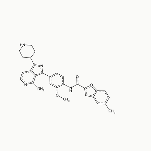 COc1cc(-c2nn(C3CCNCC3)c3ccnc(N)c23)ccc1NC(=O)c1cc2cc(C)ccc2o1